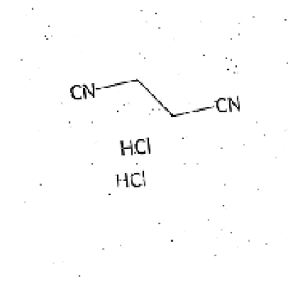 Cl.Cl.[C-]#[N+]CCC#N